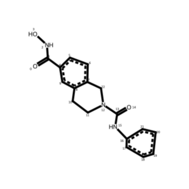 O=C(NO)c1ccc2c(c1)CCN(C(=O)Nc1ccccc1)C2